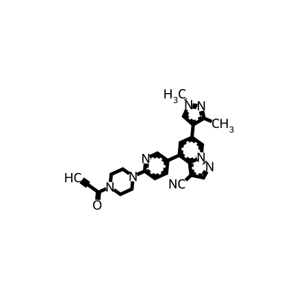 C#CC(=O)N1CCN(c2ccc(-c3cc(-c4cn(C)nc4C)cn4ncc(C#N)c34)cn2)CC1